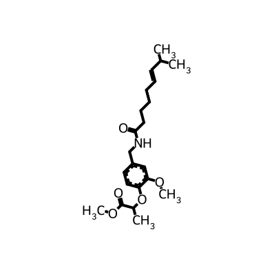 COC(=O)C(C)Oc1ccc(CNC(=O)CCCC/C=C/C(C)C)cc1OC